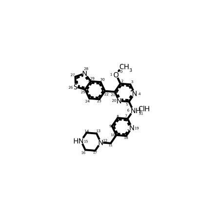 COc1cnc(Nc2ccc(CN3CCNCC3)cn2)nc1-c1ccc2scnc2c1.Cl